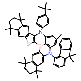 Cc1cc2c3c(c1)N(c1ccc(C(C)(C)C)cc1)c1c(sc4cc5c(cc14)C(C)(C)CCC5(C)C)B3c1cc3c(cc1N2c1cccc2c1-c1ccccc1C2(C)C)C(C)(C)CCC3(C)C